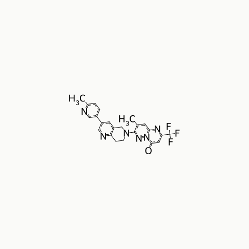 Cc1ccc(-c2cnc3c(c2)CN(c2nn4c(=O)cc(C(F)(F)F)nc4cc2C)CC3)cn1